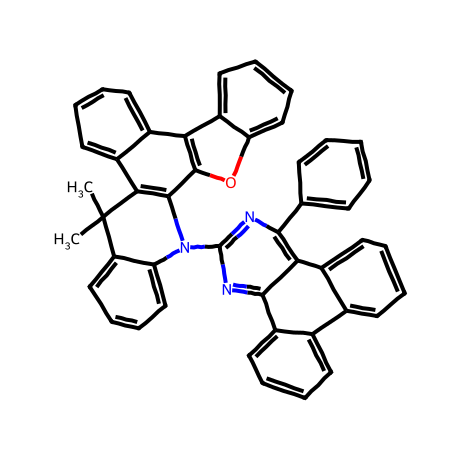 CC1(C)c2ccccc2N(c2nc(-c3ccccc3)c3c4ccccc4c4ccccc4c3n2)c2c1c1ccccc1c1c2oc2ccccc21